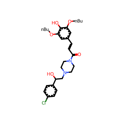 CCCCOc1cc(C=CC(=O)N2CCN(CC(O)c3ccc(Cl)cc3)CC2)cc(OCCCC)c1O